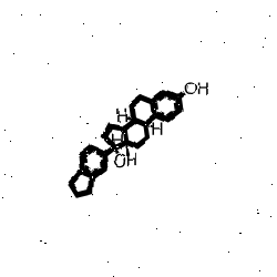 C[C@]12CC[C@@H]3c4ccc(O)cc4CC[C@H]3[C@@H]1CC[C@@]2(O)c1ccc2c(c1)CCC2